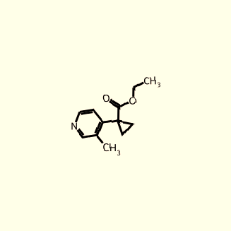 CCOC(=O)C1(c2ccncc2C)CC1